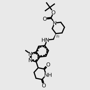 Cn1nc(C2CCC(=O)NC2=O)c2ccc(NC[C@@H]3CCCN(C(=O)OC(C)(C)C)C3)cc21